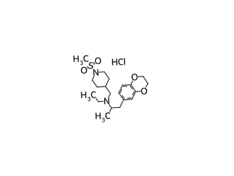 CCN(CC1CCN(S(C)(=O)=O)CC1)C(C)Cc1ccc2c(c1)OCCO2.Cl